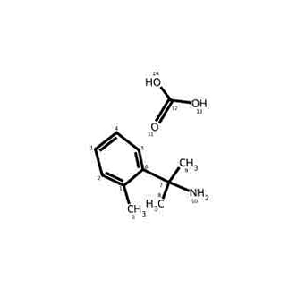 Cc1ccccc1C(C)(C)N.O=C(O)O